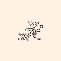 CC(C)(C)c1ccc(Nc2cc3sc4cc5c(cc4c3cc2-c2c3c4c(c6cc7c(cc6n4-c4c(oc6ccc(-c8ccccc8)cc46)B3)C(C)(C)CCC7(C)C)c3sc4ccccc4c23)C(C)(C)CCC5(C)C)cc1